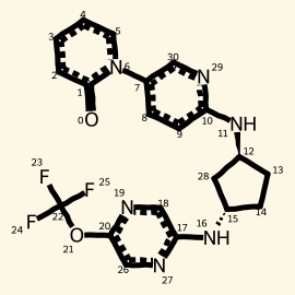 O=c1ccccn1-c1ccc(N[C@H]2CC[C@H](Nc3cnc(OC(F)(F)F)cn3)C2)nc1